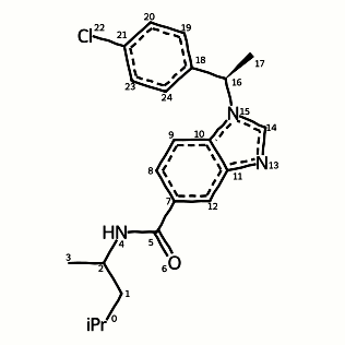 CC(C)CC(C)NC(=O)c1ccc2c(c1)ncn2[C@H](C)c1ccc(Cl)cc1